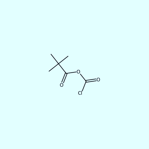 CC(C)(C)C(=O)OC(=O)Cl